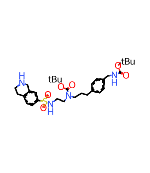 CC(C)(C)OC(=O)NCc1ccc(CCCN(CCNS(=O)(=O)c2ccc3c(c2)CNCC3)C(=O)OC(C)(C)C)cc1